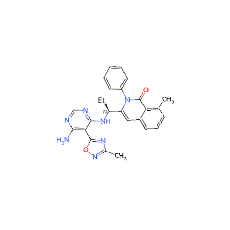 CC[C@H](Nc1ncnc(N)c1-c1nc(C)no1)c1cc2cccc(C)c2c(=O)n1-c1ccccc1